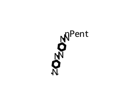 CCCCCN=Nc1ccc(N=Nc2ccc(N(C)C)cc2)cc1